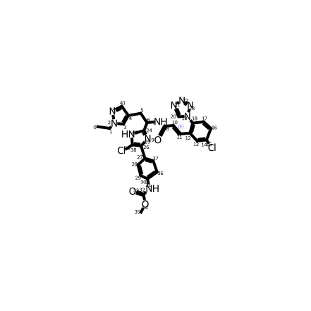 CCn1cc(CC(NC(=O)/C=C/c2cc(Cl)ccc2-n2cnnn2)c2nc(-c3ccc(NC(=O)OC)cc3)c(Cl)[nH]2)cn1